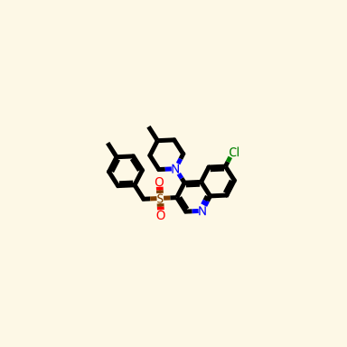 Cc1ccc(CS(=O)(=O)c2cnc3ccc(Cl)cc3c2N2CCC(C)CC2)cc1